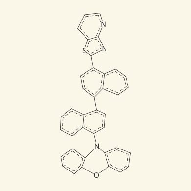 c1ccc2c(c1)Oc1ccccc1N2c1ccc(-c2ccc(-c3nc4ncccc4s3)c3ccccc23)c2ccccc12